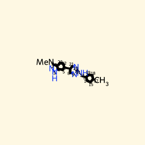 CNc1n[nH]c2cc(-c3cnc(NCc4ccc(C)cc4)nc3)ccc12